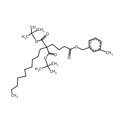 CCCCCCCCCCC(CCCC(=O)OCc1cccc(C)c1)(C(=O)OC(C)(C)C)C(=O)OC(C)(C)C